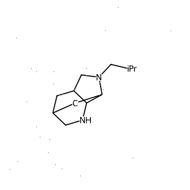 CC(C)CN1CC2CC3CNC2C1C3